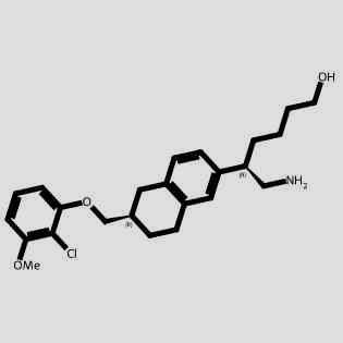 COc1cccc(OC[C@@H]2CCc3cc([C@H](CN)CCCCO)ccc3C2)c1Cl